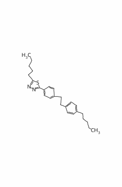 CCCCCc1ccc(CCc2ccc(-c3nnc(CCCCC)s3)cc2)cc1